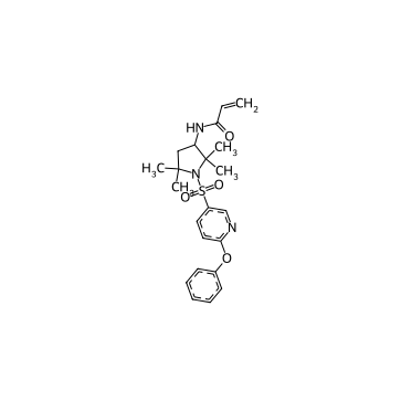 C=CC(=O)NC1CC(C)(C)N(S(=O)(=O)c2ccc(Oc3ccccc3)nc2)C1(C)C